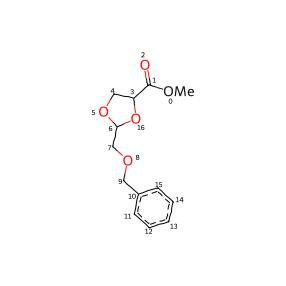 COC(=O)C1COC(COCc2ccccc2)O1